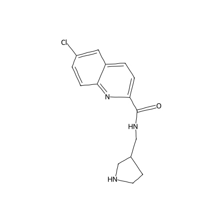 O=C(NCC1CCNC1)c1ccc2cc(Cl)ccc2n1